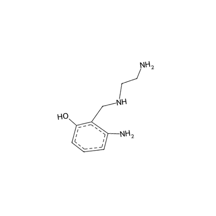 NCCNCc1c(N)cccc1O